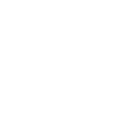 Brc1ccc2c3c(cccc13)-c1c-2c(-c2ccccc2)c2cc(-c3ccccc3)ccc2c1-c1ccccc1